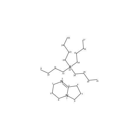 C1CN=C2CCCN2C1.CCCC[B-](CCCC)(CCCC)CCCC